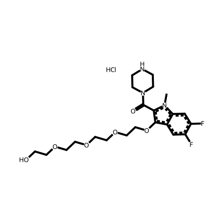 Cl.Cn1c(C(=O)N2CCNCC2)c(OCCOCCOCCOCCO)c2cc(F)c(F)cc21